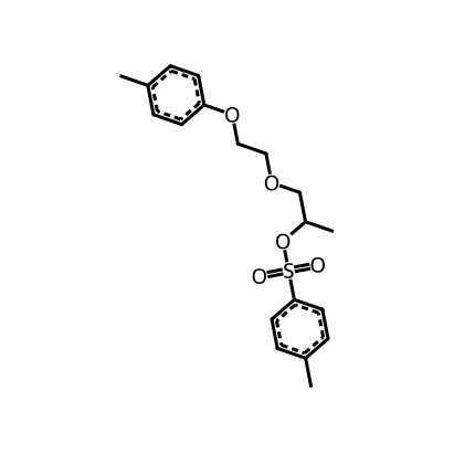 Cc1ccc(OCCOCC(C)OS(=O)(=O)c2ccc(C)cc2)cc1